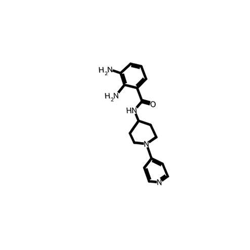 Nc1cccc(C(=O)NC2CCN(c3ccncc3)CC2)c1N